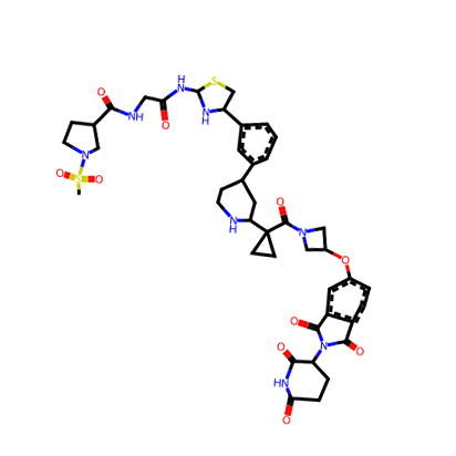 CS(=O)(=O)N1CCC(C(=O)NCC(=O)NC2NC(c3cccc(C4CCNC(C5(C(=O)N6CC(Oc7ccc8c(c7)C(=O)N(C7CCC(=O)NC7=O)C8=O)C6)CC5)C4)c3)CS2)C1